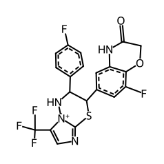 O=C1COc2c(F)cc(C3SC4=NC=C(C(F)(F)F)[N+]4NC3c3ccc(F)cc3)cc2N1